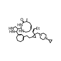 CC/C=C\C1(CN2CCN(C3CC3)CC2)CC1CCC1=CCCCC(C2NNCC2C2NCC/C=C\CC(C)C(=O)N2)=C1